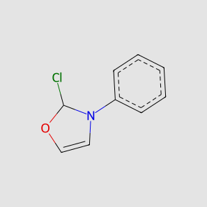 ClC1OC=CN1c1ccccc1